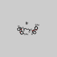 CC(=O)Oc1cccc(C[N+]2(C)[C@@H]3CC[C@H]2CC(OC(=O)CCCC(=O)OC2C[C@H]4CC[C@@H](C2)[N+]4(C)Cc2cccc(OC(C)=O)c2)C3)c1.[Br-].[Br-]